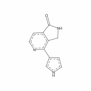 O=C1NCc2c1ccnc2-c1cc[nH]c1